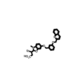 CCC(CC(=O)O)C1Oc2cc(OCc3cccc(OCc4ccc5ccccc5n4)c3)ccc2N1C